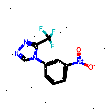 O=[N+]([O-])c1cccc(-n2cnnc2C(F)(F)F)c1